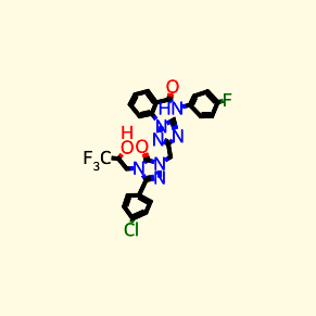 O=C(Nc1ccc(F)cc1)c1ccccc1-n1cnc(Cn2nc(-c3ccc(Cl)cc3)n(CC(O)C(F)(F)F)c2=O)n1